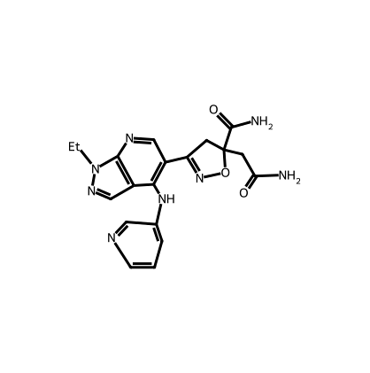 CCn1ncc2c(Nc3cccnc3)c(C3=NOC(CC(N)=O)(C(N)=O)C3)cnc21